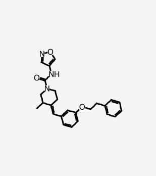 CC1CN(C(=O)Nc2cnoc2)CCC1=Cc1cccc(OCCc2ccccc2)c1